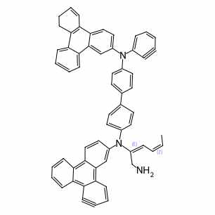 C/C=C\C=C(/CN)N(c1ccc(-c2ccc(N(c3c#cccc3)c3ccc4c5c(c6ccccc6c4c3)CCC=C5)cc2)cc1)c1ccc2c3ccccc3c3c#cccc3c2c1